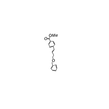 COC(=O)c1ccc(C=CCCOCc2ccccc2)cc1